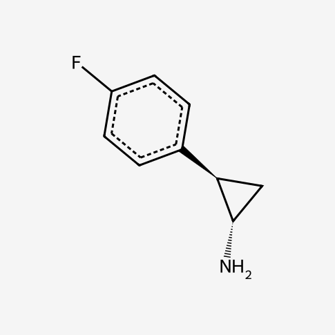 N[C@H]1C[C@@H]1c1ccc(F)cc1